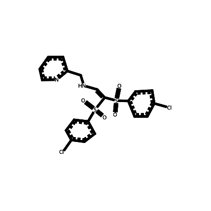 O=S(=O)(C(=CNCc1ccccn1)S(=O)(=O)c1ccc(Cl)cc1)c1ccc(Cl)cc1